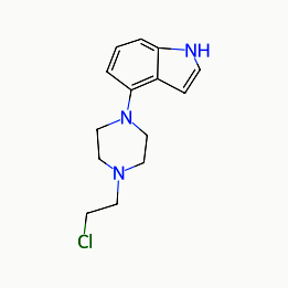 ClCCN1CCN(c2cccc3[nH]ccc23)CC1